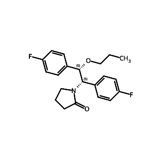 CCCO[C@@H](c1ccc(F)cc1)[C@H](c1ccc(F)cc1)N1CCCC1=O